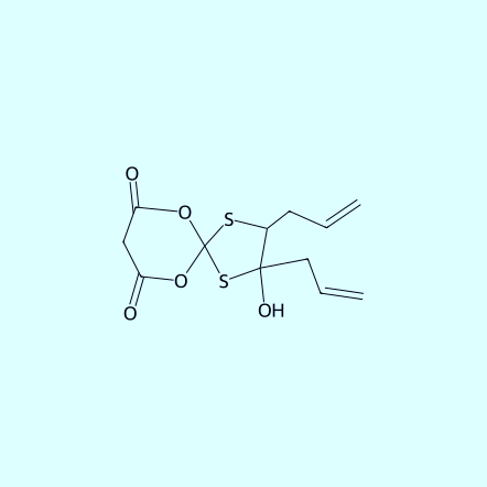 C=CCC1SC2(OC(=O)CC(=O)O2)SC1(O)CC=C